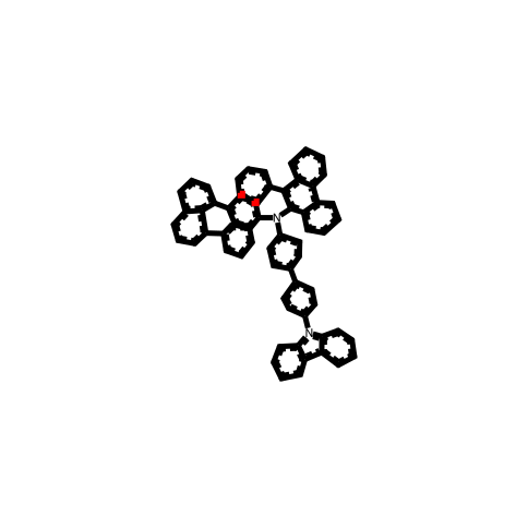 c1ccc(-c2c(N(c3ccc(-c4ccc(-n5c6ccccc6c6ccccc65)cc4)cc3)c3ccc(-c4cccc5cccc(-c6ccccc6)c45)cc3)c3ccccc3c3ccccc23)cc1